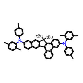 Cc1ccc(N(c2ccc3cc4c(cc3c2)C(C(C)(C)C)(C(C)(C)C)c2c-4c3ccccc3c3cc(N(c4ccc(C)cc4)c4cc(C)ccc4C)ccc23)c2cc(C)ccc2C)cc1